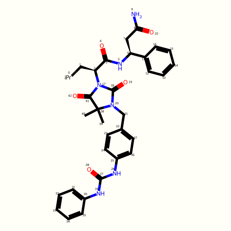 CC(C)C[C@@H](C(=O)N[C@@H](CC(N)=O)c1ccccc1)N1C(=O)N(Cc2ccc(NC(=O)Nc3ccccc3)cc2)C(C)(C)C1=O